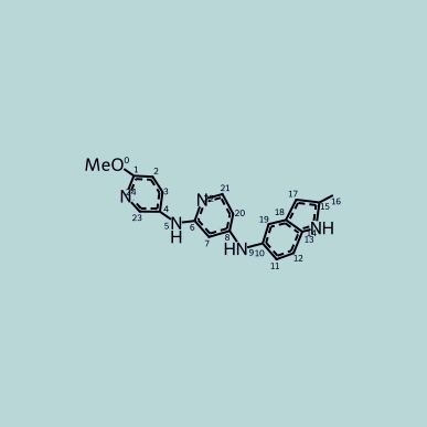 COc1ccc(Nc2cc(Nc3ccc4[nH]c(C)cc4c3)ccn2)cn1